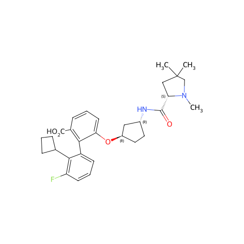 CN1CC(C)(C)C[C@H]1C(=O)N[C@@H]1CC[C@@H](Oc2cccc(C(=O)O)c2-c2cccc(F)c2C2CCC2)C1